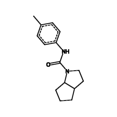 Cc1ccc(NC(=O)N2CCC3CCCC32)cc1